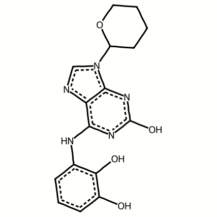 Oc1nc(Nc2cccc(O)c2O)c2ncn(C3CCCCO3)c2n1